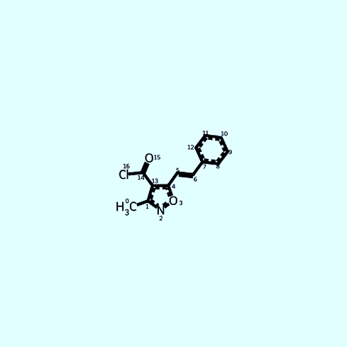 Cc1noc(C=Cc2ccccc2)c1C(=O)Cl